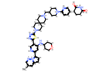 N#Cc1cnn2c(-c3cc(NC4CCOCC4)c(-c4nnc(N5CCC6(CCN(CC7CCN(c8ccc([C@H]9CCC(=O)NC9=O)cn8)CC7)CC6)CC5)s4)cn3)ccc2c1